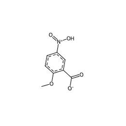 COc1ccc([N+](=O)O)cc1C(=O)[O-]